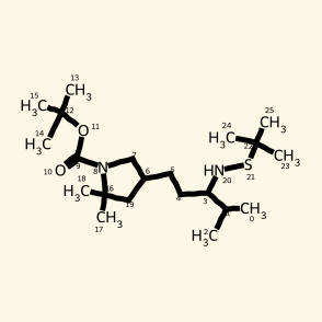 CC(C)C(CCC1CN(C(=O)OC(C)(C)C)C(C)(C)C1)NSC(C)(C)C